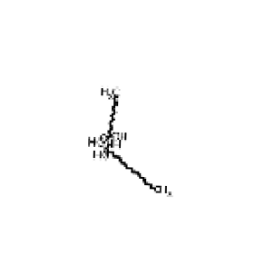 CCCCCCCCCCCCCCC[C@@H](O)[C@H](CO)NC(=O)[C@H](O)CCCCCCCCCCC